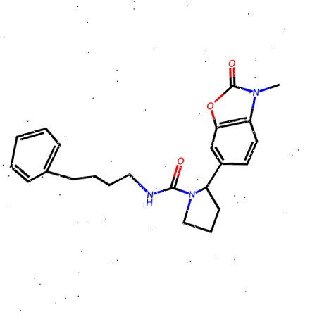 Cn1c(=O)oc2cc(C3CCCN3C(=O)NCCCCc3ccccc3)ccc21